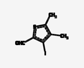 Cc1sc(C=O)c(I)c1C